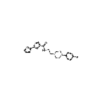 O=C(NCCN1CCN(c2ccc(F)cc2)CC1)c1cc(-c2ccco2)on1